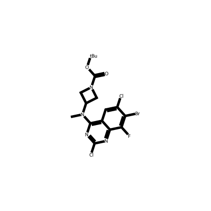 CN(c1nc(Cl)nc2c(F)c(Br)c(Cl)cc12)C1CN(C(=O)OC(C)(C)C)C1